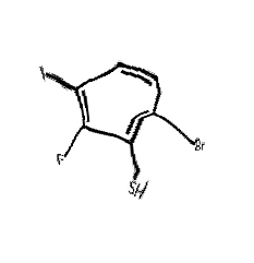 Fc1c(I)ccc(Br)c1S